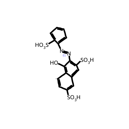 O=S(=O)(O)c1c[c]c2c(O)c(/N=N/c3ccccc3S(=O)(=O)O)c(S(=O)(=O)O)cc2c1